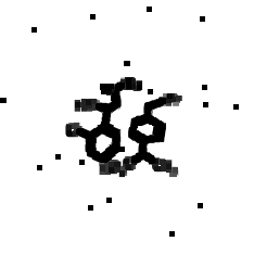 CC(C)(C)NCC(O)c1ccccc1Cl.CC(C)Cc1ccc(C(C)C(=O)O)cc1